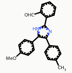 COc1ccc(-c2[nH]c(-c3ccccc3C=O)nc2-c2ccc(C)cc2)cc1